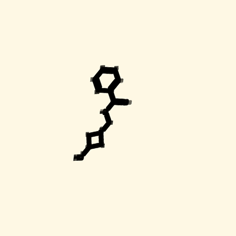 O=C(OCN1CC(O)C1)c1ccccc1